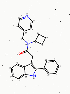 O=C(Cc1c(-c2ccccc2)[nH]c2ccccc12)N(Cc1ccncc1)C1CCC1